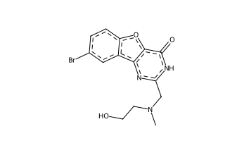 CN(CCO)Cc1nc2c(oc3ccc(Br)cc32)c(=O)[nH]1